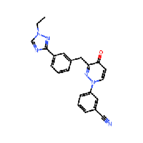 CCn1cnc(-c2cccc(Cc3nn(-c4cccc(C#N)c4)ccc3=O)c2)n1